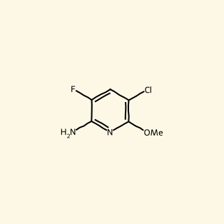 COc1nc(N)c(F)cc1Cl